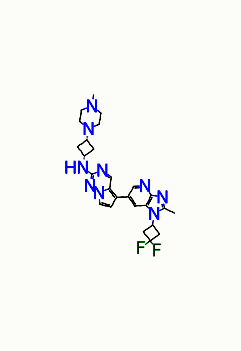 Cc1nc2ncc(-c3ccn4nc(N[C@H]5C[C@@H](N6CCN(C)CC6)C5)ncc34)cc2n1C1CC(F)(F)C1